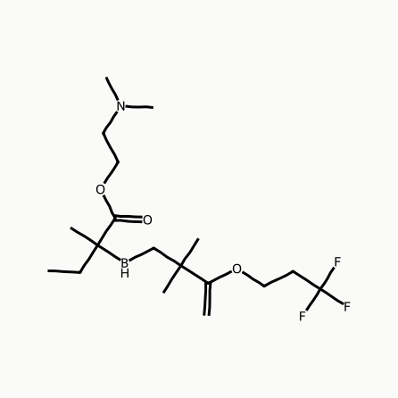 C=C(OCCC(F)(F)F)C(C)(C)CBC(C)(CC)C(=O)OCCN(C)C